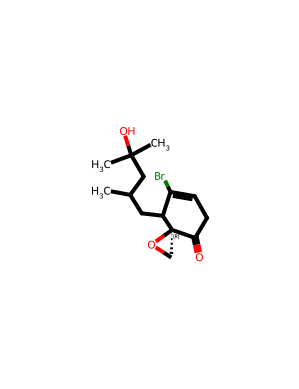 CC(CC1C(Br)=CCC(=O)[C@]12CO2)CC(C)(C)O